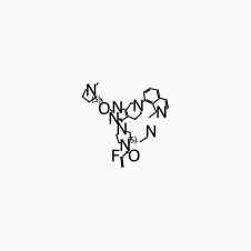 C=C(F)C(=O)N1CCN(c2nc(OC[C@@H]3CCCN3C)nc3c2CCN(c2cccc4ccnc(C)c24)C3)C[C@@H]1CC#N